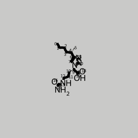 CCCC[C@H](C)c1cn([C@@H](CCCNC(N)=O)C(=O)O)nn1